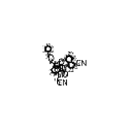 N#CCC[C@]12C=CC(CCOCc3ccccc3)(O1)[C@@H]1C(=O)N(c3ccc(C#N)c4ccccc34)C(=O)[C@@H]12